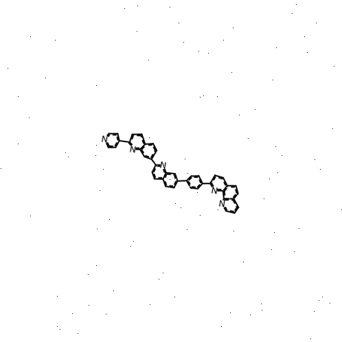 c1cnc2c(c1)ccc1ccc(-c3ccc(-c4ccc5ccc(-c6ccc7ccc(-c8ccncc8)nc7c6)nc5c4)cc3)nc12